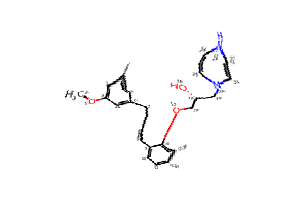 COc1cccc(CCc2ccccc2OC[C@H](O)CN2C=CNC=C2)c1